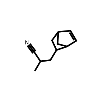 CC(C#N)CC1CC2C=CC1C2